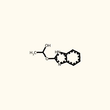 CC(O)Oc1nc2ccccc2[nH]1